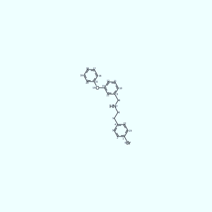 Brc1ccc(CCNCc2cccc(Oc3ccccc3)c2)cc1